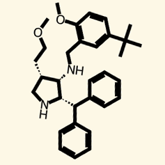 COCC[C@H]1CN[C@@H](C(c2ccccc2)c2ccccc2)[C@H]1NCc1cc(C(C)(C)C)ccc1OC